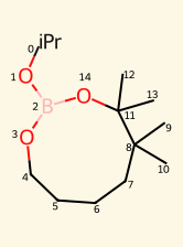 CC(C)OB1OCCCCC(C)(C)C(C)(C)O1